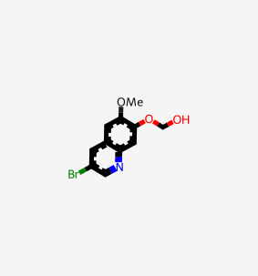 COc1cc2cc(Br)cnc2cc1OCO